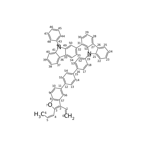 C=Cc1c(/C=C\C)oc2ccc(-c3ccc(-c4ccc(-n5c6ccccc6c6cccc(-c7ccc8c9ccccc9n(-c9ccccc9)c8c7)c65)cc4)cc3)cc12